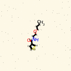 CCCCOCCNC(=O)c1ccsc1